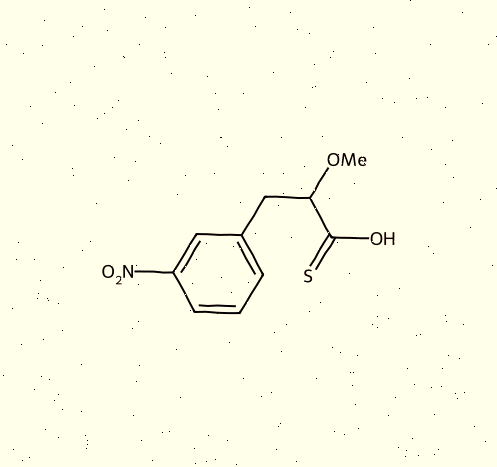 COC(Cc1cccc([N+](=O)[O-])c1)C(O)=S